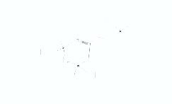 CC1(C)C=C(OSC(F)(F)F)CC(C)(C)N1